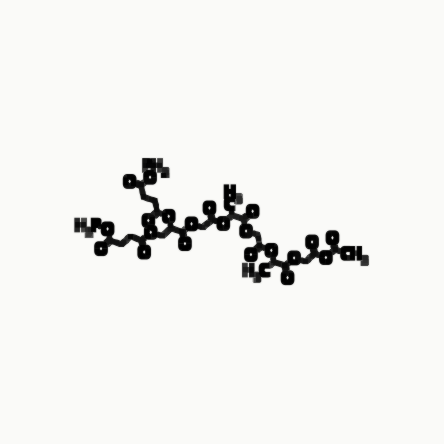 CC(=O)OC(=O)COC(=O)C(C)OC(=O)COC(=O)C(C)OC(=O)COC(=O)C(COC(=O)CCC(=O)OP)OC(=O)CCC(=O)OP